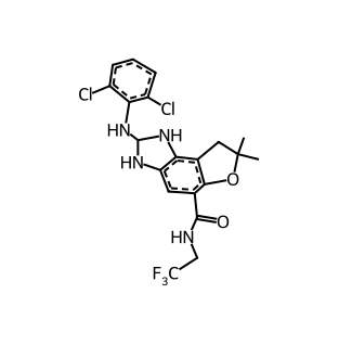 CC1(C)Cc2c3c(cc(C(=O)NCC(F)(F)F)c2O1)NC(Nc1c(Cl)cccc1Cl)N3